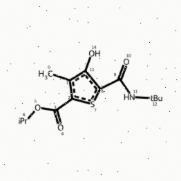 Cc1c(C(=O)OC(C)C)sc(C(=O)NC(C)(C)C)c1O